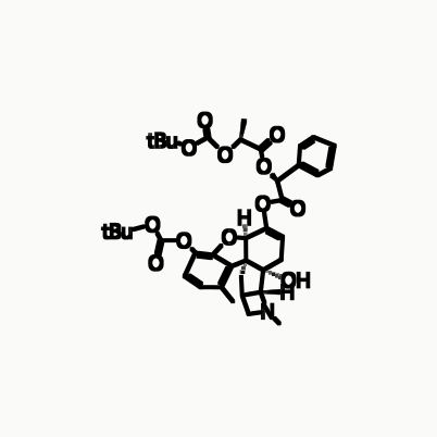 Cc1ccc(OC(=O)OC(C)(C)C)c2c1[C@]13CC4CN(C)[C@H]4[C@]1(O)CC=C(OC(=O)[C@@H](OC(=O)[C@H](C)OC(=O)OC(C)(C)C)c1ccccc1)[C@@H]3O2